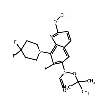 COc1ccc2cc(N(C=O)OC(C)(C)C)c(F)c(N3CCC(F)(F)CC3)c2n1